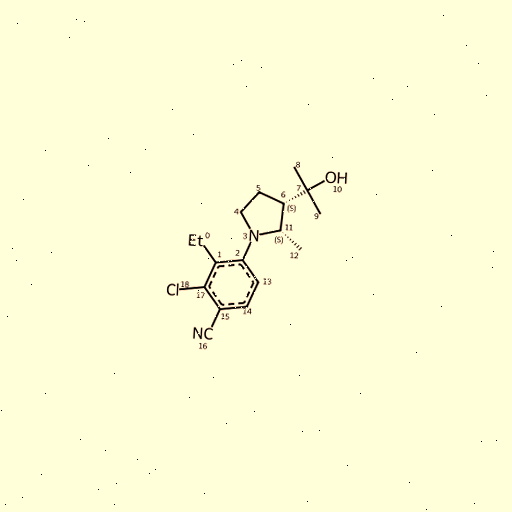 CCc1c(N2CC[C@H](C(C)(C)O)[C@@H]2C)ccc(C#N)c1Cl